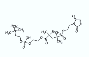 CC(C)(CC(C)(Br)C(=O)OCCOP(=O)(O)OCC[N+](C)(C)[13CH3])C(=O)OCCN1C(=O)C=CC1=O